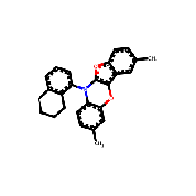 Cc1ccc2c(c1)Oc1c(oc3ccc(C)cc13)N2c1cccc2c1CCCC2